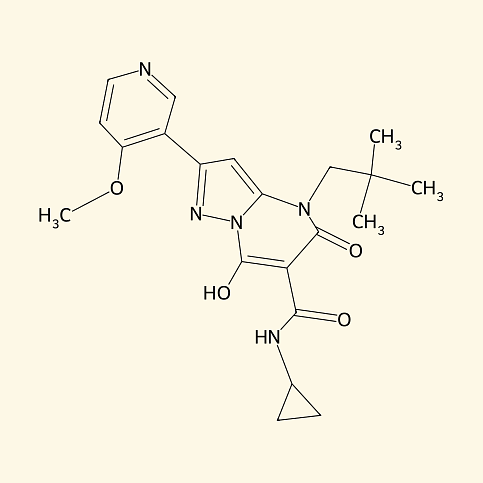 COc1ccncc1-c1cc2n(CC(C)(C)C)c(=O)c(C(=O)NC3CC3)c(O)n2n1